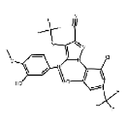 C=[N+](c1ccc(OC)c(O)c1)c1c(SC(F)(F)F)c(C#N)nn1-c1c(Cl)cc(C(F)(F)F)cc1Cl